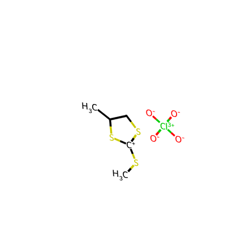 CS[C+]1SCC(C)S1.[O-][Cl+3]([O-])([O-])[O-]